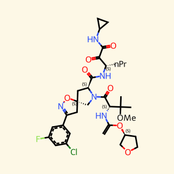 C=C(N[C@H](C(=O)N1C[C@@]2(CC(c3cc(F)cc(Cl)c3)=NO2)C[C@H]1C(=O)N[C@@H](CCC)C(=O)C(=O)NC1CC1)C(C)(C)OC)O[C@H]1CCOC1